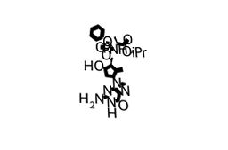 C=C1[C@H](COP(=O)(N[C@@H](C)C(=O)OC(C)C)Oc2ccccc2)[C@@H](O)C[C@@H]1n1cnc2c(=O)[nH]c(N)nc21